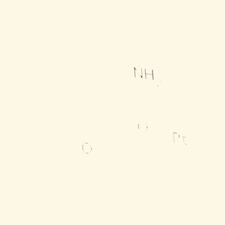 CC1(CN)OCCO1.[Pt]